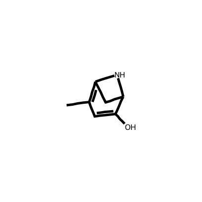 CC1=C2CC(N2)C(O)=C1